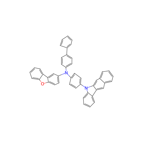 c1ccc(-c2ccc(N(c3ccc(-n4c5ccccc5c5cc6ccccc6cc54)cc3)c3ccc4oc5ccccc5c4c3)cc2)cc1